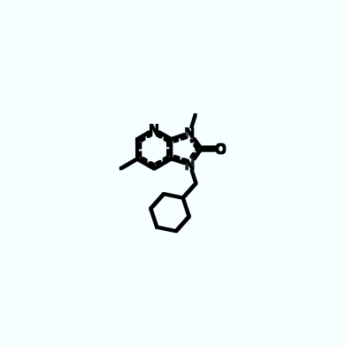 Cc1cnc2c(c1)n(CC1CCCCC1)c(=O)n2C